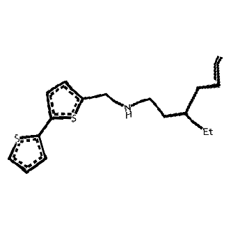 C=CCC(CC)CCNCc1ccc(-c2cccs2)s1